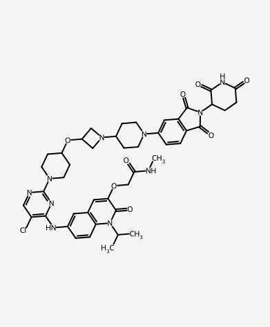 CNC(=O)COc1cc2cc(Nc3nc(N4CCC(OC5CN(C6CCN(c7ccc8c(c7)C(=O)N(C7CCC(=O)NC7=O)C8=O)CC6)C5)CC4)ncc3Cl)ccc2n(C(C)C)c1=O